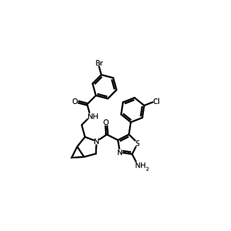 Nc1nc(C(=O)N2CC3CC3C2CNC(=O)c2cccc(Br)c2)c(-c2cccc(Cl)c2)s1